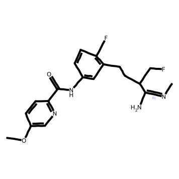 C/N=C(/N)C(CF)CCc1cc(NC(=O)c2ccc(OC)cn2)ccc1F